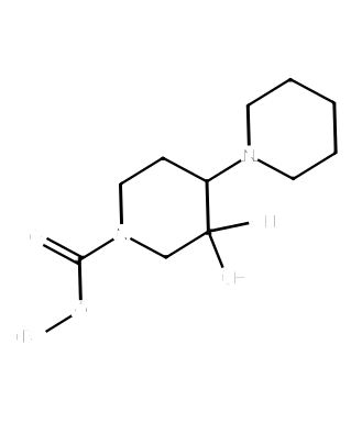 CC(C)(C)OC(=O)N1CCC(N2CCCCC2)C(C)(C)C1